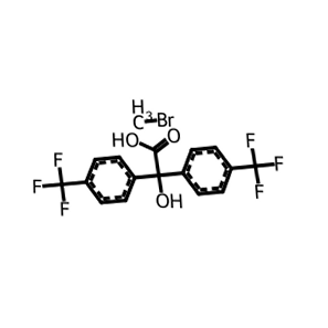 CBr.O=C(O)C(O)(c1ccc(C(F)(F)F)cc1)c1ccc(C(F)(F)F)cc1